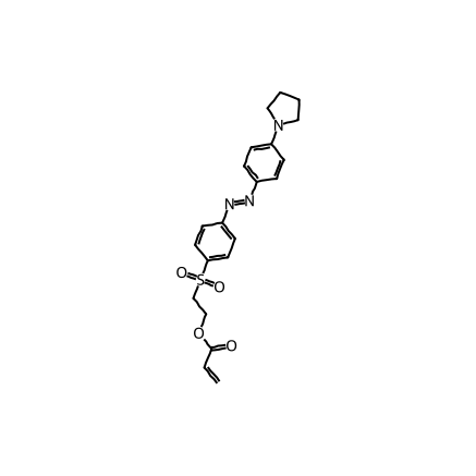 C=CC(=O)OCCS(=O)(=O)c1ccc(N=Nc2ccc(N3CCCC3)cc2)cc1